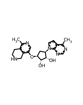 Cc1ncc(O[C@H]2C[C@@H](n3ccc4c(C)ncnc43)[C@H](O)[C@@H]2O)c2c1CCNC2